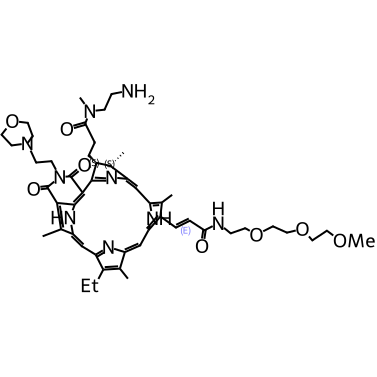 CCC1=C(C)c2cc3[nH]c(cc4nc(c5c6[nH]c(cc1n2)c(C)c6C(=O)N(CCN1CCOCC1)C5=O)[C@@H](CCC(=O)N(C)CCN)[C@@H]4C)c(C)c3/C=C/C(=O)NCCOCCOCCOC